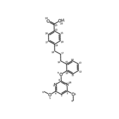 COc1cc(OC)nc(Oc2ccccc2CCCc2ccc(C(=O)O)cc2)n1